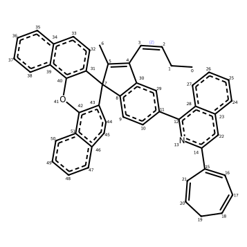 CC/C=C\C1=C(C)C2(c3ccc(-c4nc(C5=CC=CCC=C5)cc5ccccc45)cc31)c1ccc3ccccc3c1Oc1c2ccc2ccccc12